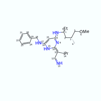 CC[C@@H](C[C@@H](C)COC)NC1=N/C(=C(/C=N)C(C)C)NC(NCc2ccccc2)=C1